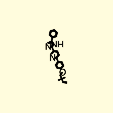 C=CC(C)(C)COc1ccc(-c2ccc(-c3ncc(-c4ccccc4)[nH]3)cn2)cc1